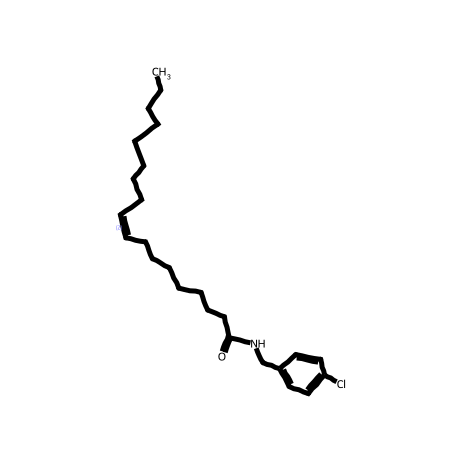 CCCCCCCC/C=C\CCCCCCCC(=O)NCc1ccc(Cl)cc1